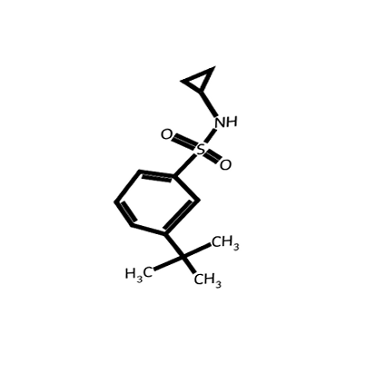 CC(C)(C)c1cccc(S(=O)(=O)NC2CC2)c1